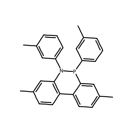 Cc1cccc(N2c3cc(C)ccc3-c3ccc(C)cc3P2c2cccc(C)c2)c1